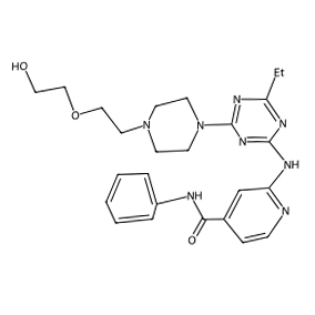 CCc1nc(Nc2cc(C(=O)Nc3ccccc3)ccn2)nc(N2CCN(CCOCCO)CC2)n1